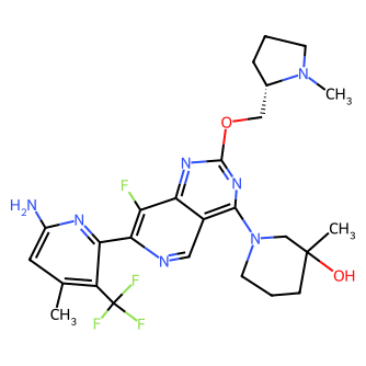 Cc1cc(N)nc(-c2ncc3c(N4CCCC(C)(O)C4)nc(OC[C@@H]4CCCN4C)nc3c2F)c1C(F)(F)F